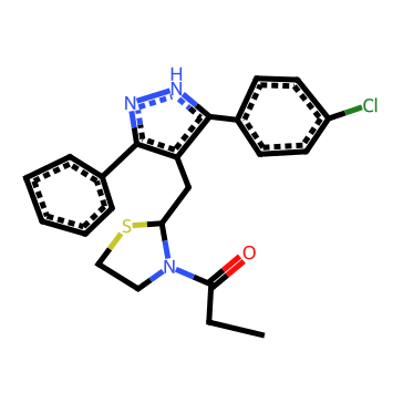 CCC(=O)N1CCSC1Cc1c(-c2ccccc2)n[nH]c1-c1ccc(Cl)cc1